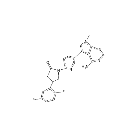 Cn1cc(-c2ccc(N3CC(c4cc(F)ccc4F)CC3=O)nc2)c2c(N)ncnc21